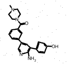 CN1CCN(C(=O)c2cccc(-c3cnc(N)c(-c4ccc(O)cc4)c3)c2)CC1